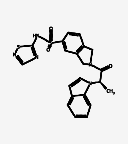 C[C@H](C(=O)N1Cc2ccc(S(=O)(=O)Nc3ncns3)cc2C1)n1ccc2ccccc21